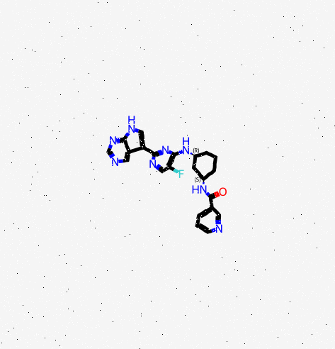 O=C(N[C@H]1CCC[C@@H](Nc2nc(-c3c[nH]c4ncncc34)ncc2F)C1)c1cccnc1